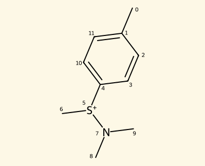 Cc1ccc([S+](C)N(C)C)cc1